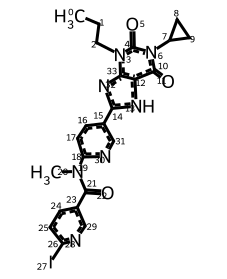 CCCn1c(=O)n(C2CC2)c(=O)c2[nH]c(-c3ccc(N(C)C(=O)c4ccc(I)nc4)nc3)nc21